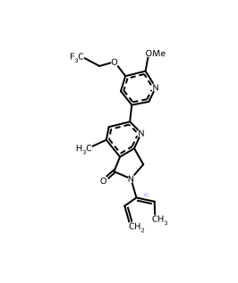 C=C/C(=C\C)N1Cc2nc(-c3cnc(OC)c(OCC(F)(F)F)c3)cc(C)c2C1=O